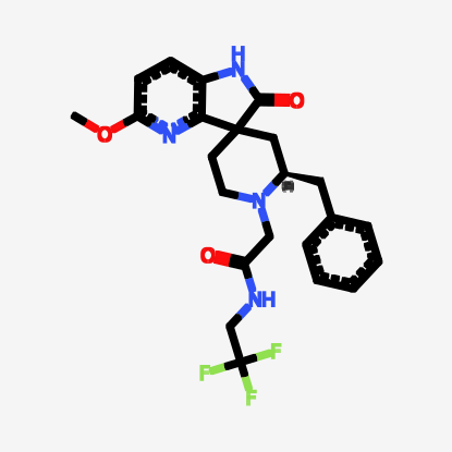 COc1ccc2c(n1)C1(CCN(CC(=O)NCC(F)(F)F)[C@H](Cc3ccccc3)C1)C(=O)N2